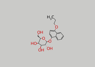 CCCOc1ccc(O[C@@H]2O[C@H](CO)[C@H](O)[C@H](O)[C@H]2O)c2ccccc12